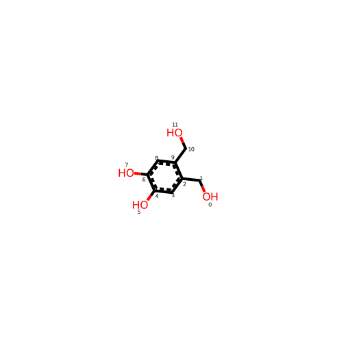 OCc1cc(O)c(O)cc1CO